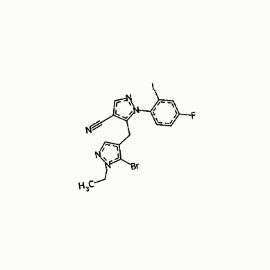 CCn1ncc(Cc2c(C#N)cnn2-c2ccc(F)cc2I)c1Br